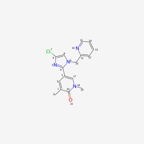 Cc1cc(-c2nc(Cl)cn2Cc2ccccn2)cn(C)c1=O